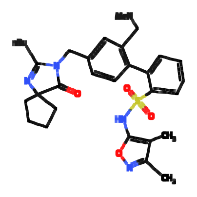 CCCCC1=NC2(CCCC2)C(=O)N1Cc1ccc(-c2ccccc2S(=O)(=O)Nc2onc(C)c2C)c(CNC)c1